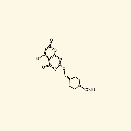 CCOC(=O)N1CCC(=NOc2nc3oc(=O)cc(CC)c3c(=O)[nH]2)CC1